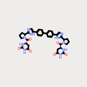 O=C1C[C@@H](C(=O)N2CCCC2c2ncc(-c3ccc(-c4ccc(-c5cnc(C6CCCN6C(=O)[C@@H]6CC(=O)NC(=O)N6)[nH]5)cc4)cc3)[nH]2)NC(=O)N1